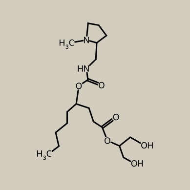 CCCCCC(CCC(=O)OC(CO)CO)OC(=O)NCC1CCCN1C